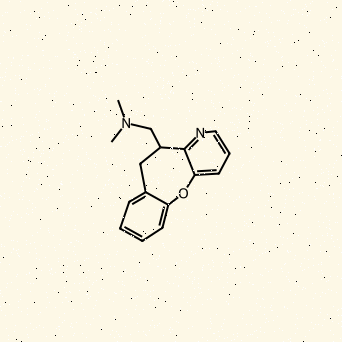 CN(C)CC1Cc2ccccc2Oc2cccnc21